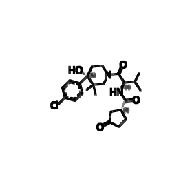 CC(C)[C@@H](NC(=O)[C@@H]1CCC(=O)C1)C(=O)N1CC[C@](O)(c2ccc(Cl)cc2)C(C)(C)C1